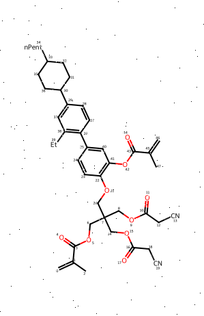 C=C(C)C(=O)OCC(COC(=O)CC#N)(COC(=O)CC#N)COc1ccc(-c2ccc(C3CCC(CCCCC)CC3)cc2CC)cc1OC(=O)C(=C)C